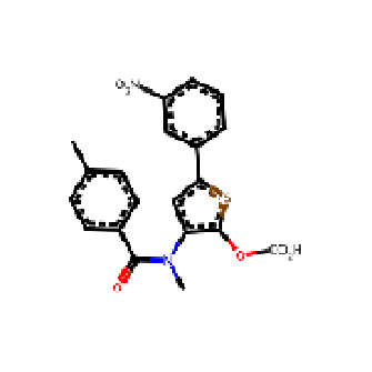 Cc1ccc(C(=O)N(C)c2cc(-c3cccc([N+](=O)[O-])c3)sc2OC(=O)O)cc1